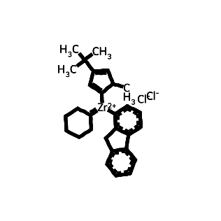 CC1C=C(C(C)(C)C)C=[C]1[Zr+2](=[C]1CCCCC1)[c]1cccc2c1Cc1ccccc1-2.[Cl-].[Cl-]